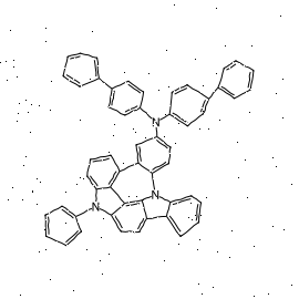 c1ccc(-c2ccc(N(c3ccc(-c4ccccc4)cc3)c3ccc4c(c3)c3cccc5c3c3c(ccc6c7ccccc7n4c63)n5-c3ccccc3)cc2)cc1